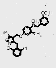 Cc1cc(OCc2c(Cc3c(Cl)cccc3Cl)noc2C(C)C)ccc1N(C)Cc1cccc(C(=O)O)c1